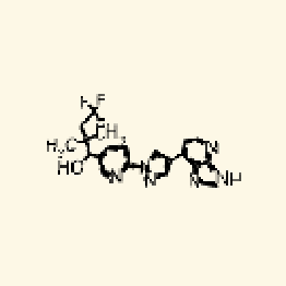 CC(C)(CC(F)(F)F)C(O)c1ccc(-n2cc(-c3ccnc4[nH]cnc34)cn2)nc1